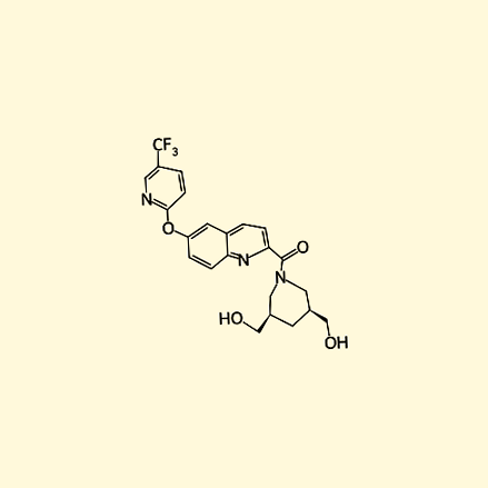 O=C(c1ccc2cc(Oc3ccc(C(F)(F)F)cn3)ccc2n1)N1C[C@H](CO)C[C@H](CO)C1